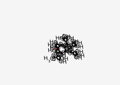 COC(=O)c1cc(O)c(O)c(O)c1Oc1cc2c(c(O)c1O)-c1c(cc(O)c(O)c1O)C(=O)O[C@H]1[C@H](OC(=O)c3cc(O)c(O)c(O)c3)[C@@H](OC(=O)c3cc(O)c(O)c(O)c3)[C@H](OC(=O)c3cc(O)c(O)c(O)c3)O[C@@H]1COC2=O